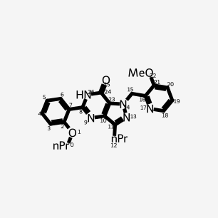 CCCOc1ccccc1-c1nc2c(CCC)nn(Cc3ncccc3OC)c2c(=O)[nH]1